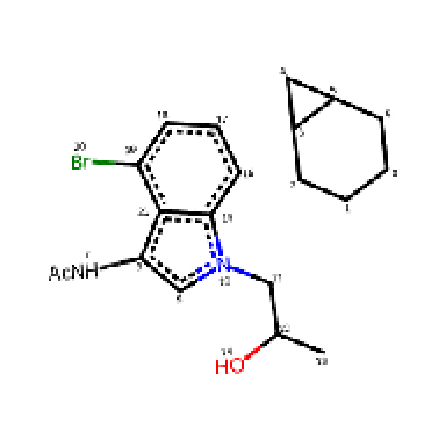 C1CCC2CC2C1.CC(=O)Nc1cn(CC(C)O)c2cccc(Br)c12